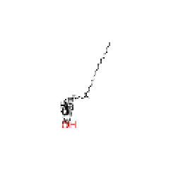 CCCCCCCCCCCCCCCCCCCC(C)CCC[C@@H](C)[C@H]1CC[C@H]2[C@@H]3CC=C4C[C@@H](O)CC[C@]4(C)[C@H]3CC[C@]12C